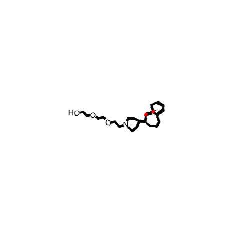 OCCOCCOCCN1CCC(=C2CCCC3=CC=CCC34CC=CC=C24)CC1